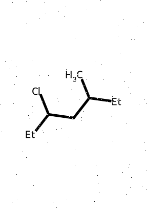 [CH2]CC(Cl)CC(C)CC